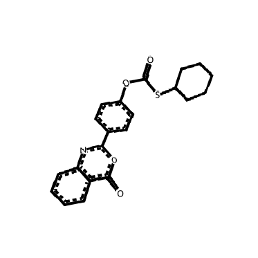 O=C(Oc1ccc(-c2nc3ccccc3c(=O)o2)cc1)SC1CCCCC1